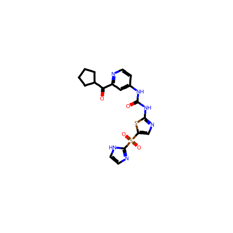 O=C(Nc1ccnc(C(=O)C2CCCC2)c1)Nc1ncc(S(=O)(=O)c2ncc[nH]2)s1